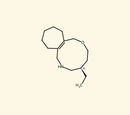 CC[C@@H]1CCOCC2=C(CCCCC2)CNC1